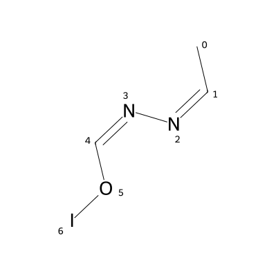 C/C=N\N=C/OI